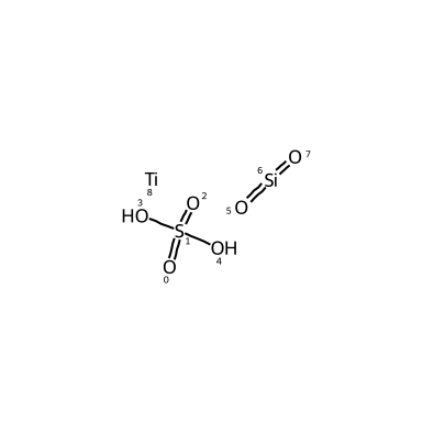 O=S(=O)(O)O.O=[Si]=O.[Ti]